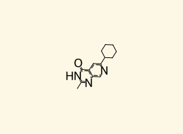 Cc1nc2cnc(C3CCCCC3)cc2c(=O)[nH]1